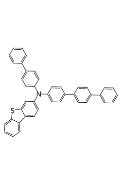 c1ccc(-c2ccc(-c3ccc(N(c4ccc(-c5ccccc5)cc4)c4ccc5c(c4)sc4ccccc45)cc3)cc2)cc1